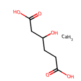 O=C(O)CCC(O)CC(=O)O.[CaH2]